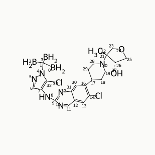 BC(B)(B)n1ncc(Nc2ncc3cc(Cl)c(C4CCN([C@]5(C)COC[C@@H]5O)CC4)cc3n2)c1Cl